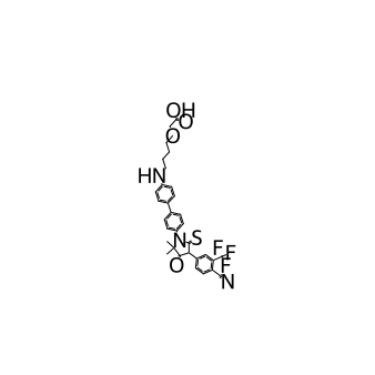 CC1(C)C(=O)C(c2ccc(C#N)c(C(F)(F)F)c2)C(=S)N1c1ccc(-c2ccc(NCCCCOCC(=O)O)cc2)cc1